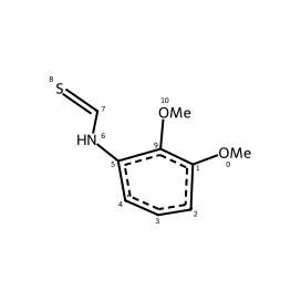 COc1cccc(NC=S)c1OC